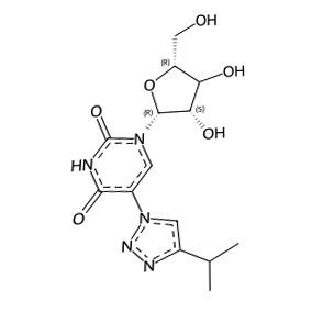 CC(C)c1cn(-c2cn([C@@H]3O[C@H](CO)C(O)[C@@H]3O)c(=O)[nH]c2=O)nn1